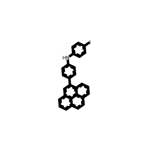 Ic1ccc(Nc2ccc(-c3cc4cccc5ccc6cccc3c6c54)cc2)cc1